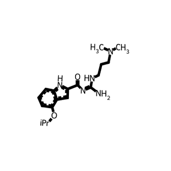 CC(C)Oc1cccc2[nH]c(C(=O)N=C(N)NCCCN(C)C)cc12